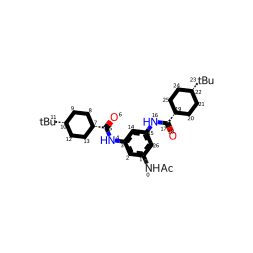 CC(=O)Nc1cc(NC(=O)[C@H]2CC[C@@H](C(C)(C)C)CC2)cc(NC(=O)[C@H]2CC[C@@H](C(C)(C)C)CC2)c1